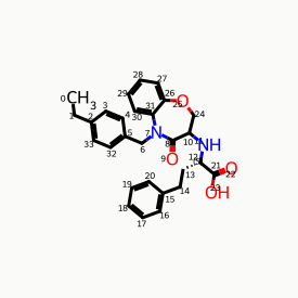 CCc1ccc(CN2C(=O)C(N[C@@H](CCc3ccccc3)C(=O)O)COc3ccccc32)cc1